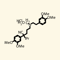 COc1ccc(CCN(C)CCCC(C#N)(c2ccc(OC)c(OC)c2)C(C)C)cc1OC.Cl.O